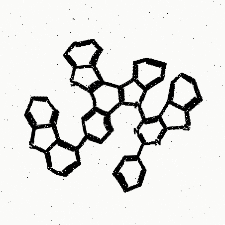 c1ccc(-c2nc(-n3c4ccccc4c4c5c6ccccc6sc5c5cc(-c6cccc7sc8ccccc8c67)ccc5c43)c3c(n2)sc2ccccc23)cc1